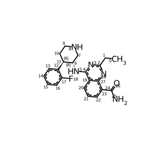 CCc1nc(N[C@H]2CNCC[C@@H]2c2ccccc2F)c2cccc(C(N)=O)c2n1